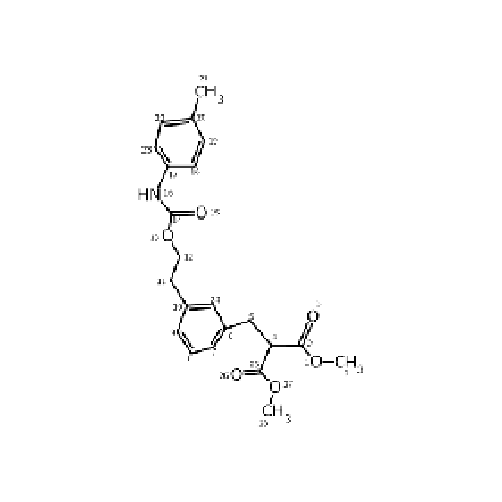 COC(=O)C(Cc1cccc(CCOC(=O)Nc2ccc(C)cc2)c1)C(=O)OC